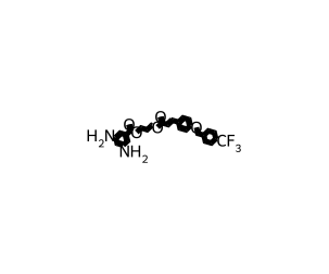 Nc1cc(N)cc(C(=O)OCCCOC(=O)/C=C/c2ccc(OCC3CCC(C(F)(F)F)CC3)cc2)c1